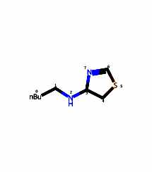 CCCCCNC1CSC=N1